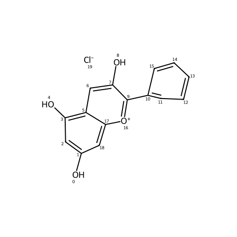 Oc1cc(O)c2cc(O)c(-c3ccccc3)[o+]c2c1.[Cl-]